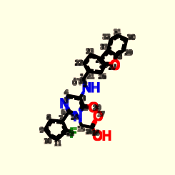 C[C@@H](Nc1cnc(-c2ccccc2F)n(CC(=O)O)c1=O)c1ccc2c(c1)oc1ccccc12